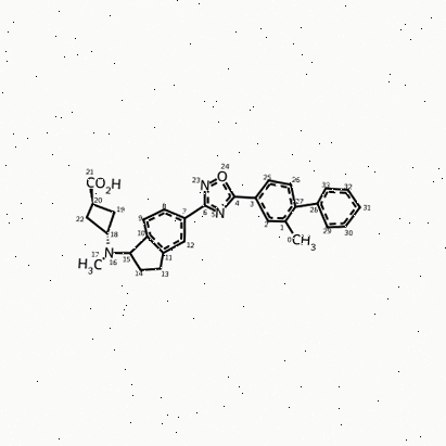 Cc1cc(-c2nc(-c3ccc4c(c3)CCC4N(C)[C@H]3C[C@H](C(=O)O)C3)no2)ccc1-c1ccccc1